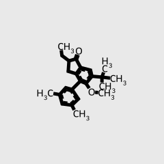 CCC1Cc2c(cc(C(C)(C)C)c(OC)c2-c2cc(C)cc(C)c2)C1=O